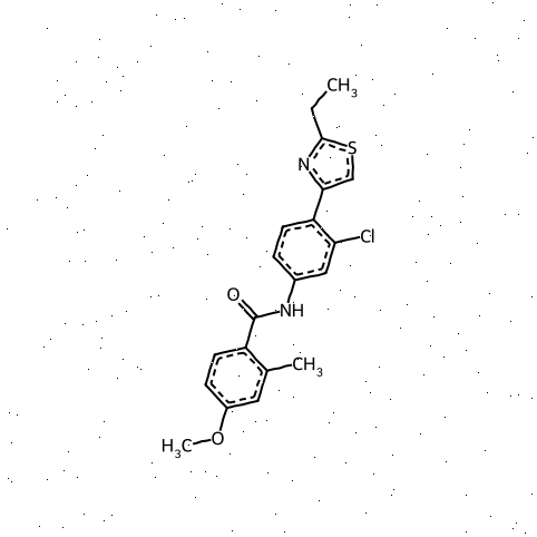 CCc1nc(-c2ccc(NC(=O)c3ccc(OC)cc3C)cc2Cl)cs1